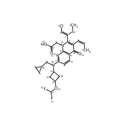 C/C=C\c1c(/C(=C/Cl)SC)n(CC(=O)O)c2nc(N(CC3CC3)C3CC(OC(F)F)C3)ccc2c1=O